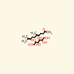 CC(=O)CC/C=C(\C)CCC=C(C)C.OC[C@@H](O)[C@@H](O)[C@H](O)[C@@H](O)CO